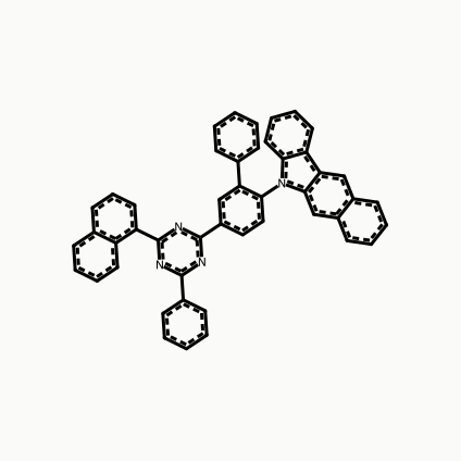 c1ccc(-c2nc(-c3ccc(-n4c5ccccc5c5cc6ccccc6cc54)c(-c4ccccc4)c3)nc(-c3cccc4ccccc34)n2)cc1